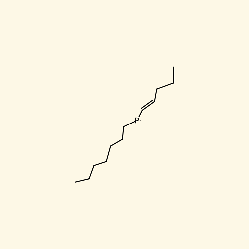 CCCC=C[P]CCCCCCC